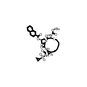 CC(C)(C)OC(=O)N[C@H]1CCCCC/C=C\[C@@H]2C[C@@]2(C(=O)NS(=O)(=O)C2CC2)NC(=O)[C@@H]2C[C@@H](OC(=O)c3ccc4ccccc4c3)CN2C1=O